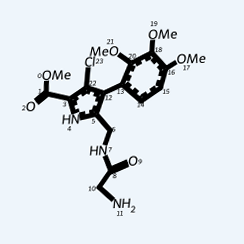 COC(=O)c1[nH]c(CNC(=O)CN)c(-c2ccc(OC)c(OC)c2OC)c1Cl